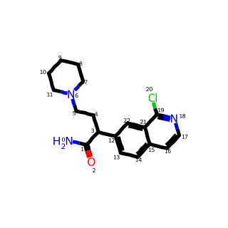 NC(=O)C(CCN1CCCCC1)c1ccc2ccnc(Cl)c2c1